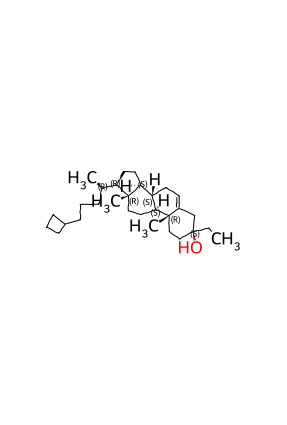 CC[C@]1(O)CC[C@@]2(C)C(=CC[C@H]3[C@@H]4CC[C@H]([C@H](C)CCCC5CCC5)[C@@]4(C)CC[C@@H]32)C1